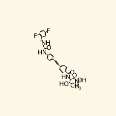 C[C@@H](O)[C@H](NC(=O)c1ccc(C#Cc2ccc(NC(=O)CNCc3cc(F)ccc3F)cc2)cc1)C(=O)NO